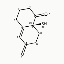 O=C1C=C2CCCC(=O)[C@]2(S)CC1